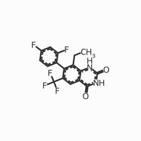 CCc1c(-c2ccc(F)cc2F)c(C(F)(F)F)cc2c(=O)[nH]c(=O)[nH]c12